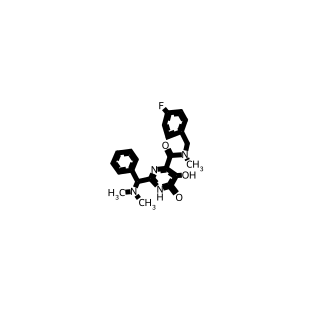 CN(Cc1ccc(F)cc1)C(=O)c1nc(C(c2ccccc2)N(C)C)[nH]c(=O)c1O